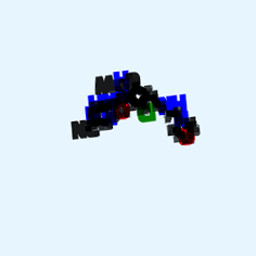 COc1cc(CCNCCN2CCOCC2)c(Cl)cc1NC(=O)Nc1cnc(C#N)cn1